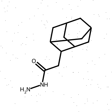 NNC(=O)CC1C2CC3CC(C2)CC1C3